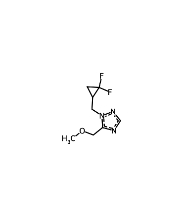 COCc1ncnn1CC1CC1(F)F